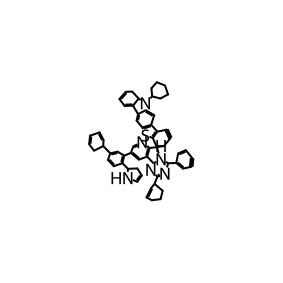 CC1(c2ncc(-c3cc(C4C=CC=CC4)ccc3C3CC=CN3)cc2C2=NC(C3C=CCCC3)=NC(c3cc#ccc3)N2)CC#Cc2c1sc1cc3c(cc21)N(C1CCCCC1)C1CC=CC=C31